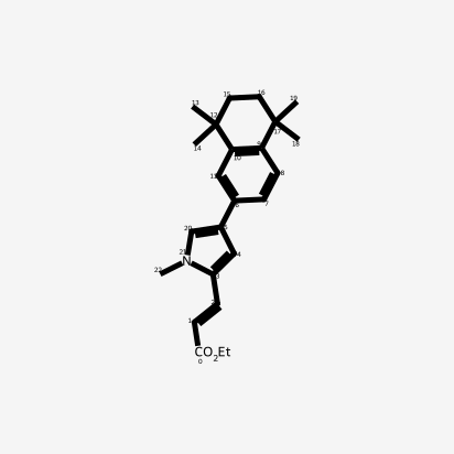 CCOC(=O)C=Cc1cc(-c2ccc3c(c2)C(C)(C)CCC3(C)C)cn1C